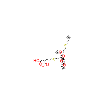 C[Si](C)(C)CCCSCCC[Si](C)(O[Si](C)(C)C)O[Si](C)(CCCSCCCC(CC(=O)O)C(=O)O)O[Si](C)(C)O[Si](C)(C)C